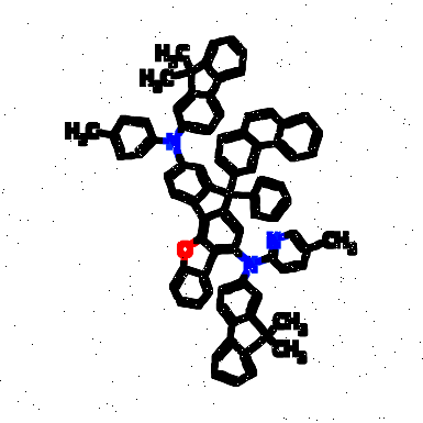 Cc1ccc(N(c2ccc3c(c2)C(C)(C)c2ccccc2-3)c2ccc3c(c2)C(c2ccccc2)(c2ccc4ccc5ccccc5c4c2)c2cc(N(c4ccc5c(c4)C(C)(C)c4ccccc4-5)c4ccc(C)cn4)c4c(oc5ccccc54)c2-3)cc1